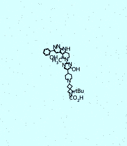 C[C@@H]1c2c([nH]c3nnc(-c4ccccc4O)cc23)CCN1c1ncc(C2CCN(C3CC4(C3)CN(C(=O)O)[C@@H]4C(C)(C)C)CC2)c(O)n1